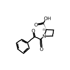 O=C(C(=O)N1CC[C@H]1C(=O)O)c1ccccc1